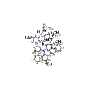 CC(C)(C)c1ccc(N2B3c4ccc5sc6ccccc6c5c4N(c4ccc(C(C)(C)C)cc4-c4ccccc4)c4cc5c(c(c43)-c3cc4c(cc32)C(C)(C)CCC4(C)C)C(C)(C)c2ccccc2-5)cc1